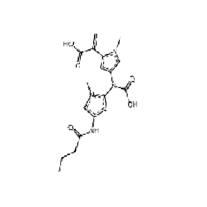 C=C(C(=O)O)c1cc(N(C(=O)O)c2cc(NC(=O)CCC)cn2C)cn1C